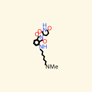 CNCCCCCCCNc1cccc2c1C(=O)N(C1CCC(=O)NC1=O)C2=O